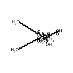 CCCCCCCCCCCCCCCC(=O)OCC(COC(=O)CCCCCCCCCCCCCCC)c1c(C)cc(OC(=O)CCCCC(=O)O)c(C(C)(C)CCO)c1C